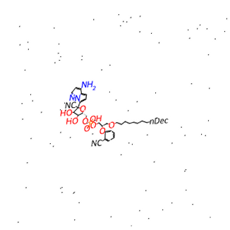 CCCCCCCCCCCCCCCCCCOC[C@H](COP(=O)(O)OC[C@H]1O[C@@](C#N)(c2ccc3c(N)ccnn23)[C@H](O)[C@@H]1O)Oc1ccccc1C#N